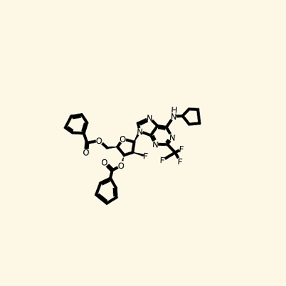 O=C(OC[C@H]1O[C@@H](n2cnc3c(NC4CCCC4)nc(C(F)(F)F)nc32)[C@@H](F)[C@@H]1OC(=O)c1ccccc1)c1ccccc1